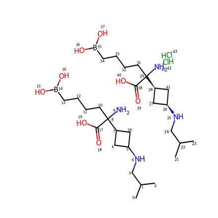 CC(C)CNC1CC(C(N)(CCCCB(O)O)C(=O)O)C1.CC(C)CN[C@H]1C[C@@H](C(N)(CCCCB(O)O)C(=O)O)C1.Cl.Cl